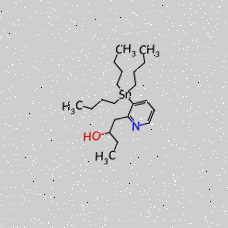 CCC[CH2][Sn]([CH2]CCC)([CH2]CCC)[c]1cccnc1CC(O)CC